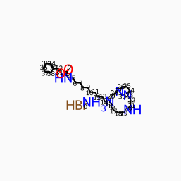 Br.N.O=C(NCCCCCCCCCCN1CCCCNCCN2CCCN(CC1)C2)OCc1ccccc1